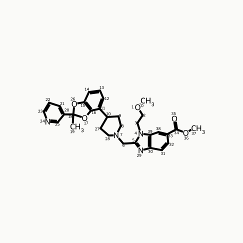 COCCn1c(CN2CCC(c3cccc4c3OC(C)(c3cccnc3)O4)CC2)nc2ccc(C(=O)OC)cc21